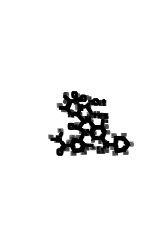 CCCCCCCCC(CCCCCC)N1C(/C(=N/c2ccc(N(CC)c3ccccc3)cc2C)C(=O)Nc2cc(C(=O)N(C)C)ccc2C)=NC(C)=C(C)S1(=O)=O